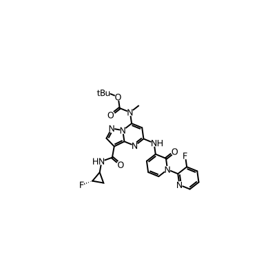 CN(C(=O)OC(C)(C)C)c1cc(Nc2cccn(-c3ncccc3F)c2=O)nc2c(C(=O)NC3C[C@@H]3F)cnn12